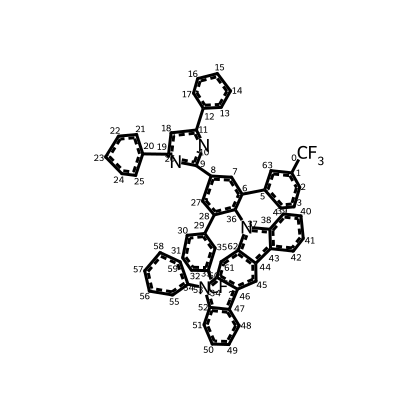 FC(F)(F)c1cccc(-c2cc(-c3nc(-c4ccccc4)cc(-c4ccccc4)n3)cc(-c3cccc(C(F)(F)F)c3)c2-n2c3ccccc3c3cc4c5ccccc5n(-c5ccccc5)c4cc32)c1